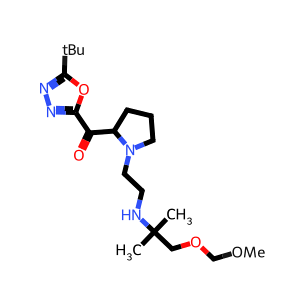 COCOCC(C)(C)NCCN1CCCC1C(=O)c1nnc(C(C)(C)C)o1